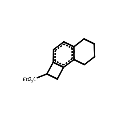 CCOC(=O)C1Cc2c1ccc1c2CCCC1